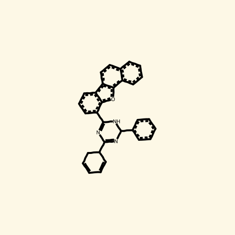 C1=CCC(C2=NC(c3ccccc3)NC(c3cccc4c3oc3c5ccccc5ccc43)=N2)C=C1